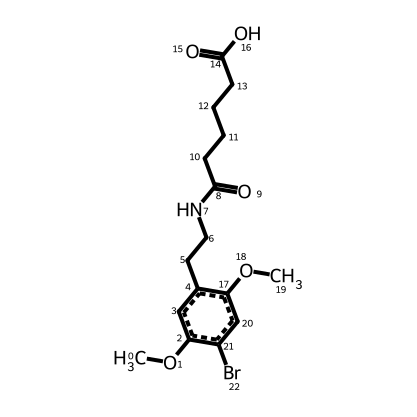 COc1cc(CCNC(=O)CCCCC(=O)O)c(OC)cc1Br